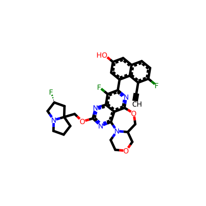 C#Cc1c(F)ccc2cc(O)cc(-c3nc4c5c(nc(OCC67CCCN6C[C@H](F)C7)nc5c3F)N3CCOCC3CO4)c12